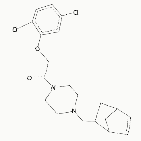 O=C(COc1cc(Cl)ccc1Cl)N1CCN(CC2CC3C=CC2C3)CC1